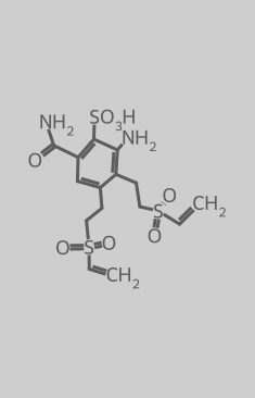 C=CS(=O)(=O)CCc1cc(C(N)=O)c(S(=O)(=O)O)c(N)c1CCS(=O)(=O)C=C